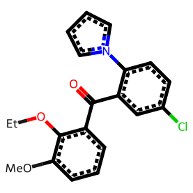 CCOc1c(OC)cccc1C(=O)c1cc(Cl)ccc1-n1cccc1